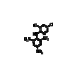 O=[N+]([O-])c1cc([N+](=O)[O-])c(Nc2ncc(Cl)cc2Cl)c(C(F)(F)F)c1